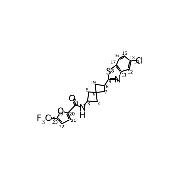 O=C(NC1CC2(C1)CC(c1nc3cc(Cl)ccc3s1)C2)c1ccc(C(F)(F)F)o1